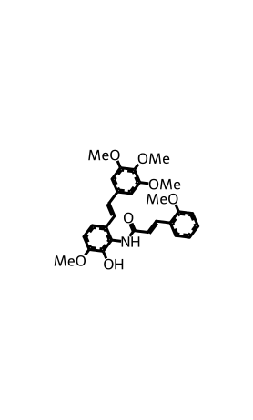 COc1ccccc1/C=C/C(=O)Nc1c(C=Cc2cc(OC)c(OC)c(OC)c2)ccc(OC)c1O